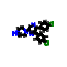 Clc1ccc(-c2ncc(N3CCNCC3)nc2-c2ccc(Cl)cc2)cc1